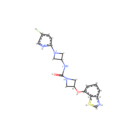 O=C(NC1CN(c2ccc(F)cn2)C1)N1CC(Oc2cccc3ncsc23)C1